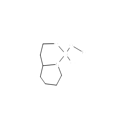 CCO[Si]1(C)OCCC2CCCCN21